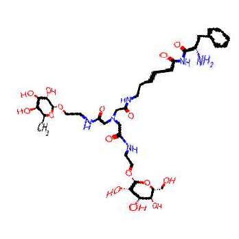 C[C@@H]1O[C@@H](OCCNC(=O)CN(CC(=O)NCCCCCC(=O)NC(=O)[C@@H](N)Cc2ccccc2)CC(=O)NCCO[C@@H]2O[C@H](CO)[C@@H](O)[C@H](O)[C@@H]2O)[C@@H](O)[C@H](O)[C@@H]1O